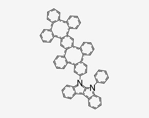 c1ccc(-n2c3ccccc3c3c4ccccc4n(-c4ccc5c6ccccc6c6cc7c8ccccc8c8ccccc8c8ccccc8c7cc6c6ccccc6c5c4)c32)cc1